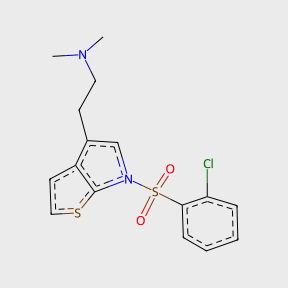 CN(C)CCc1cn(S(=O)(=O)c2ccccc2Cl)c2sccc12